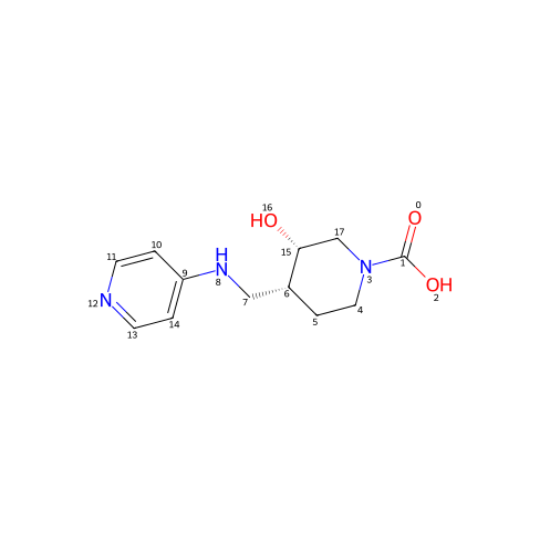 O=C(O)N1CC[C@H](CNc2ccncc2)[C@H](O)C1